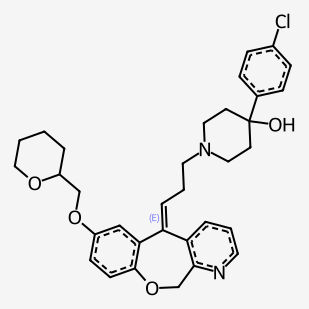 OC1(c2ccc(Cl)cc2)CCN(CC/C=C2/c3cc(OCC4CCCCO4)ccc3OCc3ncccc32)CC1